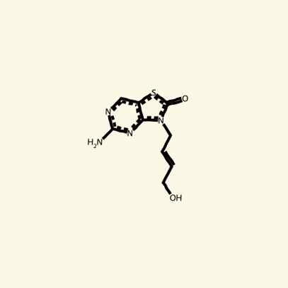 Nc1ncc2sc(=O)n(CC=CCO)c2n1